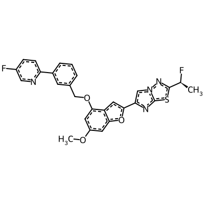 COc1cc(OCc2cccc(-c3ccc(F)cn3)c2)c2cc(-c3cn4nc([C@H](C)F)sc4n3)oc2c1